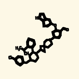 CC(C)c1ccccc1C1CN(Cc2ccc(Cl)cc2)CCN1C1CC2(CCN(c3ccc(C=O)c(Oc4cnc5[nH]ccc5c4)c3)CC2)C1